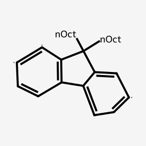 CCCCCCCCC1(CCCCCCCC)c2[c][c]ccc2-c2cc[c]cc21